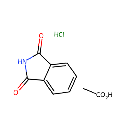 CC(=O)O.Cl.O=C1NC(=O)c2ccccc21